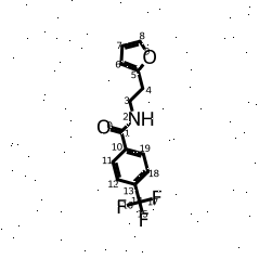 O=C(NCCc1ccco1)c1ccc(C(F)(F)F)cc1